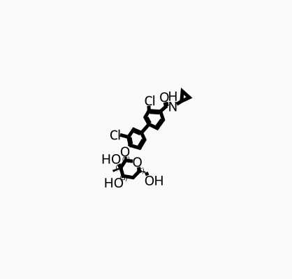 C[C@@]1(O)[C@@H](Oc2ccc(-c3ccc(C(=O)NC4CC4)c(Cl)c3)cc2Cl)O[C@H](CO)C[C@@H]1O